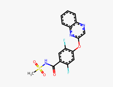 CS(=O)(=O)NC(=O)c1cc(F)c(Oc2cnc3ccccc3n2)cc1F